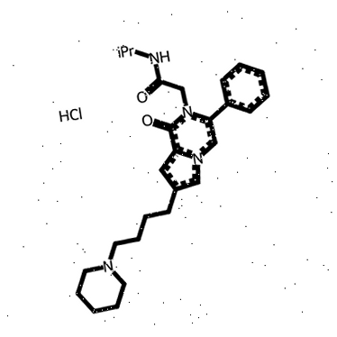 CC(C)NC(=O)Cn1c(-c2ccccc2)cn2cc(CCCCN3CCCCC3)cc2c1=O.Cl